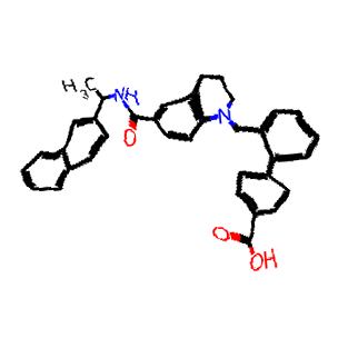 CC(NC(=O)c1ccc2c(c1)CCCN2Cc1ccccc1-c1ccc(C(=O)O)cc1)c1ccc2ccccc2c1